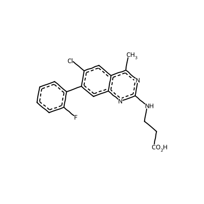 Cc1nc(NCCC(=O)O)nc2cc(-c3ccccc3F)c(Cl)cc12